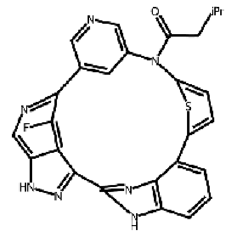 CC(C)CC(=O)n1c2cncc(c2)c2ncc3[nH]nc(c4nc5c(cccc5c5ccc1s5)[nH]4)c3c2F